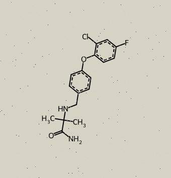 CC(C)(NCc1ccc(Oc2ccc(F)cc2Cl)cc1)C(N)=O